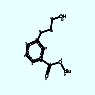 CC(C)(C)OC(=O)c1cccc(CCCO)c1